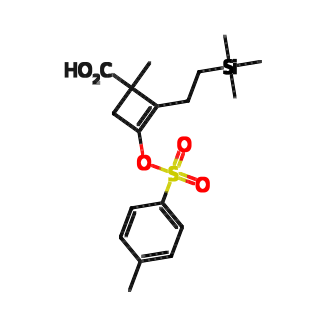 Cc1ccc(S(=O)(=O)OC2=C(CC[Si](C)(C)C)C(C)(C(=O)O)C2)cc1